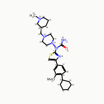 COc1cc(-c2csc(N(C(N)=O)N3CCN(C[C@@H]4CCCN(C)C4)CC3)n2)ccc1C1CCCCC1